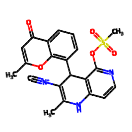 [C-]#[N+]C1=C(C)Nc2ccnc(OS(C)(=O)=O)c2C1c1cccc2c(=O)cc(C)oc12